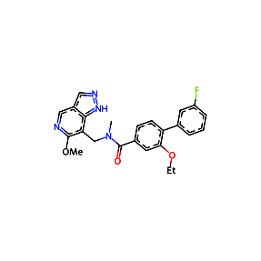 CCOc1cc(C(=O)N(C)Cc2c(OC)ncc3cn[nH]c23)ccc1-c1cccc(F)c1